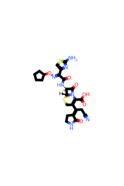 N#CCC(=C1CCNC1=O)C1=C(C(=O)O)N2C(=O)[C@@H](NC(=O)C(=NOC3CCCC3)c3csc(N)n3)[C@H]2SC1